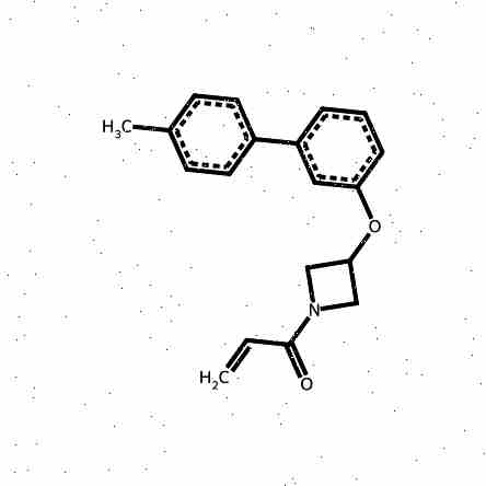 C=CC(=O)N1CC(Oc2cccc(-c3ccc(C)cc3)c2)C1